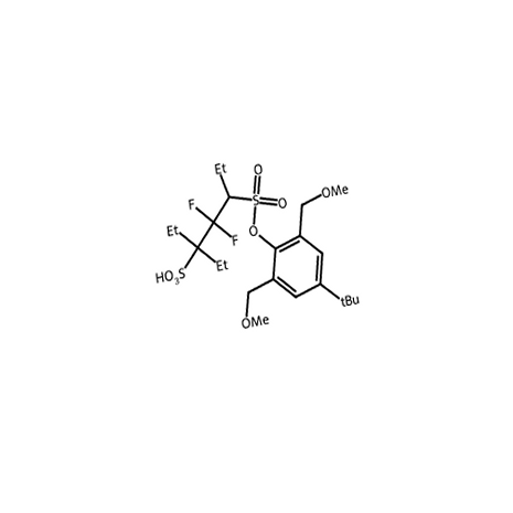 CCC(C(F)(F)C(CC)(CC)S(=O)(=O)O)S(=O)(=O)Oc1c(COC)cc(C(C)(C)C)cc1COC